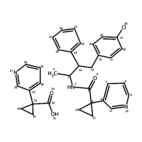 CC(NC(=O)C1(c2cccnc2)CC1)C(Cc1ccc(Cl)cc1)c1ccccc1.O=C(O)C1(c2cccnc2)CC1